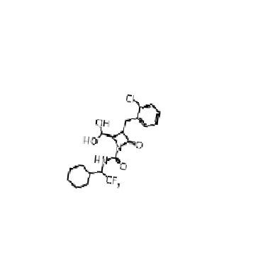 O=C(NC(C1CCCCC1)C(F)(F)F)N1C(=O)[C@H](Cc2ccccc2Cl)C1C(O)O